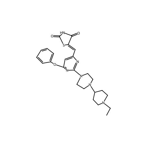 CCN1CCC(N2CCN(c3nc(/C=C4\SC(=O)NC4=O)cc(Oc4ccccc4)n3)CC2)CC1